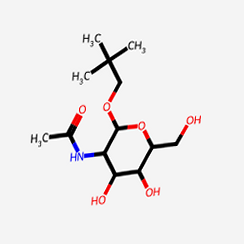 CC(=O)NC1C(OCC(C)(C)C)OC(CO)C(O)C1O